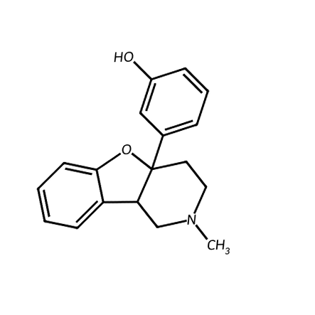 CN1CCC2(c3cccc(O)c3)Oc3ccccc3C2C1